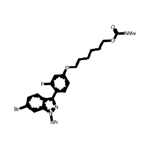 CCCn1nc(-c2ccc(OCCCCCCOC(=O)NC)cc2F)c2ccc(Br)cc21